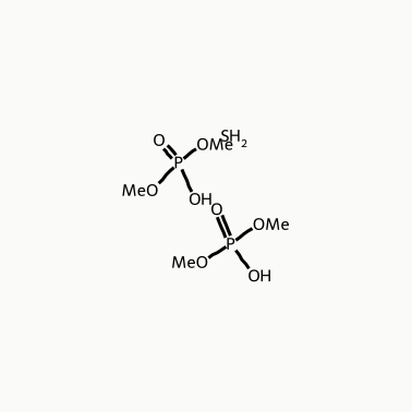 COP(=O)(O)OC.COP(=O)(O)OC.S